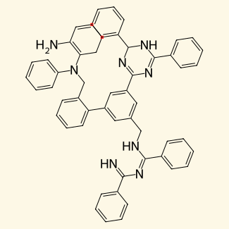 N=C(/N=C(\NCc1cc(C2=NC(c3ccccc3)NC(c3ccccc3)=N2)cc(-c2ccccc2CN(C2=C(N)C=CCC2)c2ccccc2)c1)c1ccccc1)c1ccccc1